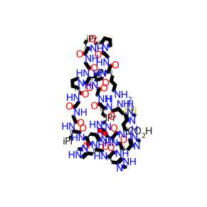 CC(C)C[C@H](NC(=O)CNC(=O)CNC(=O)[C@@H]1CCCN1C(=O)[C@H](CC(C)C)NC(=O)CNC(=O)[C@H](CC(C)C)NC(=O)[C@@H]1CCCN1C(=O)CNC(=O)[C@H](CCCCN)NC(=O)CNC(=O)CNC(=O)[C@H](CC(C)C)NC(=O)[C@@H](N)CS)C(=O)N[C@@H](Cc1c[nH]cn1)C(=O)N[C@@H](Cc1c[nH]cn1)C(=O)N[C@@H](Cc1c[nH]cn1)C(=O)N[C@@H](Cc1c[nH]cn1)C(=O)N[C@@H](Cc1c[nH]cn1)C(=O)N[C@@H](Cc1c[nH]cn1)C(=O)O